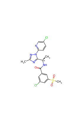 Cc1nc([C@@H](C)NC(=O)c2cc(Cl)cc(S(C)(=O)=O)c2)n(-c2ccc(Cl)cn2)n1